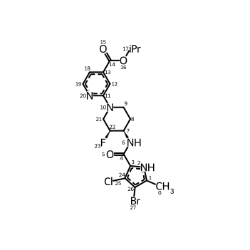 Cc1[nH]c(C(=O)N[C@@H]2CCN(c3cc(C(=O)OC(C)C)ccn3)C[C@@H]2F)c(Cl)c1Br